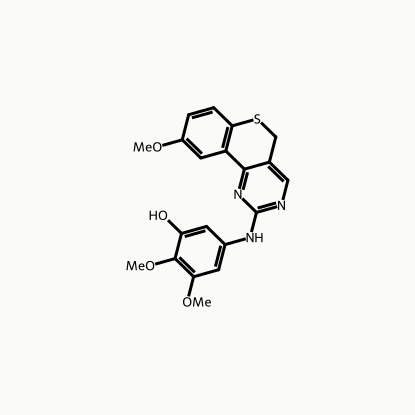 COc1ccc2c(c1)-c1nc(Nc3cc(O)c(OC)c(OC)c3)ncc1CS2